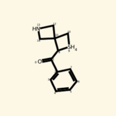 O=C(c1ccccc1)C1[SH4]CC12CNC2